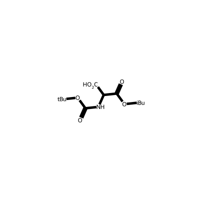 CCC(C)OC(=O)C(NC(=O)OC(C)(C)C)C(=O)O